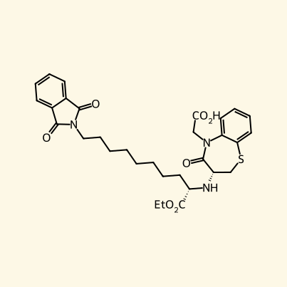 CCOC(=O)[C@H](CCCCCCCCN1C(=O)c2ccccc2C1=O)N[C@H]1CSc2ccccc2N(CC(=O)O)C1=O